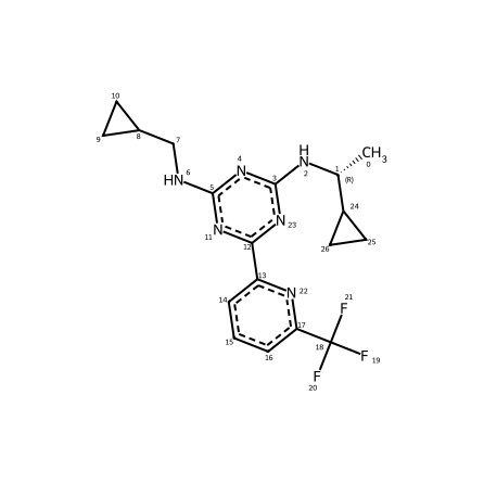 C[C@@H](Nc1nc(NCC2CC2)nc(-c2cccc(C(F)(F)F)n2)n1)C1CC1